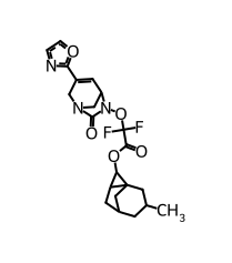 CC1CC2CC3C(OC(=O)C(F)(F)ON4C(=O)N5CC(c6ncco6)=CC4C5)C3(C1)C2